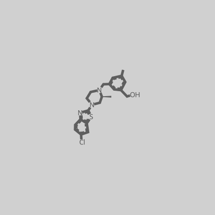 Cc1cc(CO)cc(CN2CCN(c3nc4ccc(Cl)cc4s3)C[C@@H]2C)c1